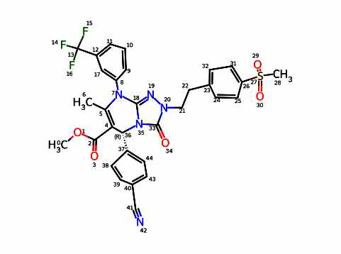 COC(=O)C1=C(C)N(c2cccc(C(F)(F)F)c2)c2nn(CCc3ccc(S(C)(=O)=O)cc3)c(=O)n2[C@@H]1c1ccc(C#N)cc1